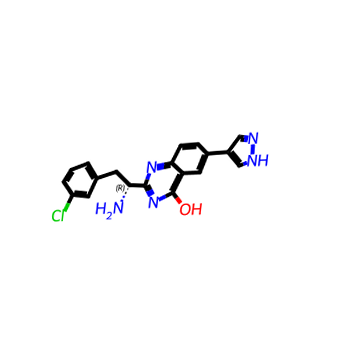 N[C@H](Cc1cccc(Cl)c1)c1nc(O)c2cc(-c3cn[nH]c3)ccc2n1